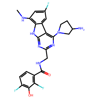 CNc1cc(F)cc2c1[nH]c1nc(CNC(=O)c3ccc(F)c(O)c3F)nc(N3CCC(N)C3)c12